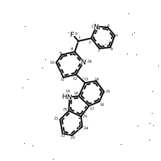 FC(c1ccccn1)c1cccc(-c2cccc3c2[nH]c2ccccc23)n1